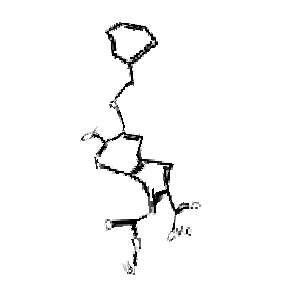 COC(=O)c1cc2cc(OCc3ccccc3)c(Cl)nc2n1C(=O)OC(C)(C)C